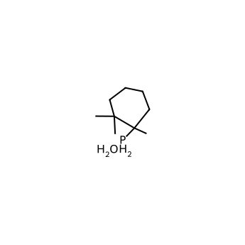 CC1(C)CCCCC1(C)P.O